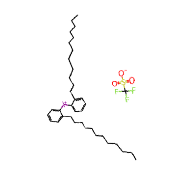 CCCCCCCCCCCCc1ccccc1[I+]c1ccccc1CCCCCCCCCCCC.O=S(=O)([O-])C(F)(F)F